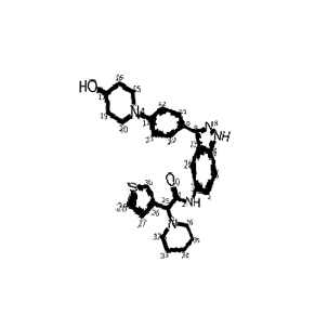 O=C(Nc1ccc2[nH]nc(-c3ccc(N4CCC(O)CC4)cc3)c2c1)C(c1ccsc1)N1CCCCC1